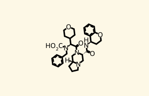 O=C(N[C@@H]1CCOc2ccccc21)[C@@H]1CN2CCC[C@@H]2CN1C(=O)[C@H](C1CCOCC1)N(Cc1ccccc1)C(=O)O